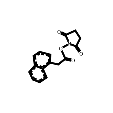 O=C(Cc1cccc2ccccc12)ON1C(=O)CCC1=O